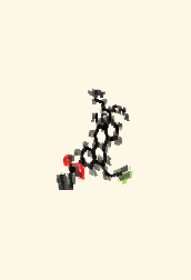 CC(C)CCC[C@@H](C)[C@H]1CCC2C3C[C@@H](CCF)C4=C(CC[C@H](OC(=O)C(C)(C)C)C4)C3CC[C@@]21C